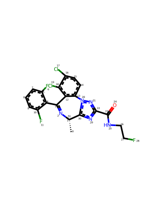 C[C@@H]1N=C(c2c(F)cccc2F)c2c(ccc(Cl)c2Cl)-n2nc(C(=O)NCCF)nc21